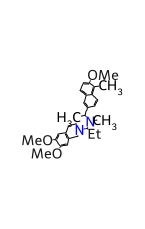 CCC(N1CCc2cc(OC)c(OC)cc2C1)N(C)C(C)c1ccc2c(C)c(OC)ccc2c1